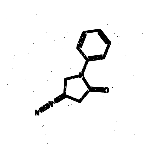 [N-]=[N+]=C1CC(=O)N(c2ccccc2)C1